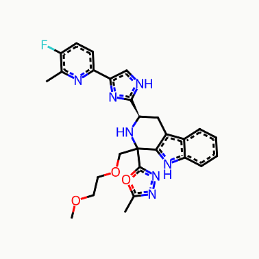 COCCOCC1(c2nnc(C)o2)N[C@@H](c2nc(-c3ccc(F)c(C)n3)c[nH]2)Cc2c1[nH]c1ccccc21